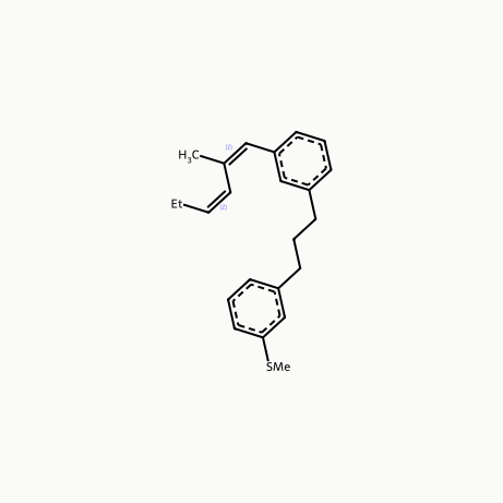 CC/C=C\C(C)=C/c1cccc(CCCc2cccc(SC)c2)c1